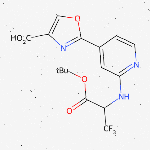 CC(C)(C)OC(=O)C(Nc1cc(-c2nc(C(=O)O)co2)ccn1)C(F)(F)F